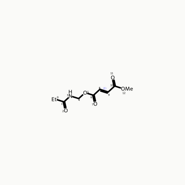 CCC(=O)NCOC(=O)/C=C/C(=O)OC